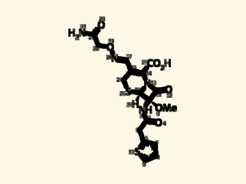 CO[C@@]1(NC(=O)Cc2cccs2)C(=O)N2C(C(=O)O)=C(/C=N/OCC(N)=O)CS[C@@H]21